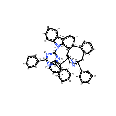 c1ccc(C2=C3CCC(c4ccccc4-c4ccc5c6ccccc6n(-c6nc(-c7ccccc7)nc(-c7ccccc7)n6)c5c43)C(c3ccccc3)N2)cc1